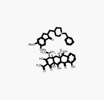 CN(C)[C@@H]1C(O)=C(C(N)=O)C(=O)[C@@]2(O)C(O)=C3C(=O)c4c(O)cccc4[C@@](C)(O)[C@H]3C[C@@H]12.COc1cc2c(cc1OC)C(=O)C(CC1CCN(Cc3ccccc3)CC1)C2